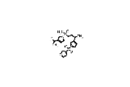 CC(C)C1=CCN(P(C)(=O)CCC(C)C2=CCN(S(=O)(=O)C3CCOC3)C2)C1